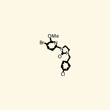 COc1nc(N2CCN(Cc3ccc(Cl)cc3)C2=O)ccc1Br